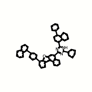 c1ccc(-c2ccc(C3=NC(c4cc5oc6c(-c7ccc(-c8cccc9ccccc89)cc7)cccc6c5c5ccccc45)=NC(c4ccccc4)N3)c3ccccc23)cc1